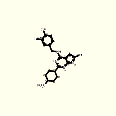 CCc1cc2c(NCc3ccc(Cl)c(Cl)c3)nc(C3CCC(C(=O)O)CC3)nc2s1